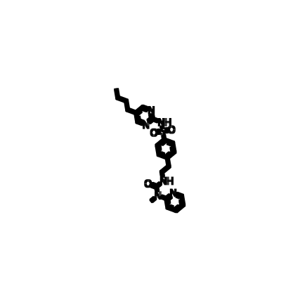 CCCCc1cnc(NS(=O)(=O)c2ccc(CCNC(=O)N(C)c3ccccn3)cc2)nc1